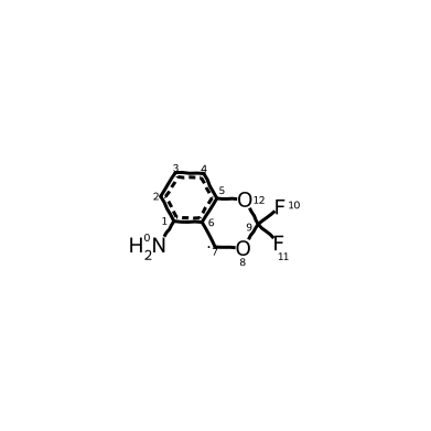 Nc1cccc2c1[CH]OC(F)(F)O2